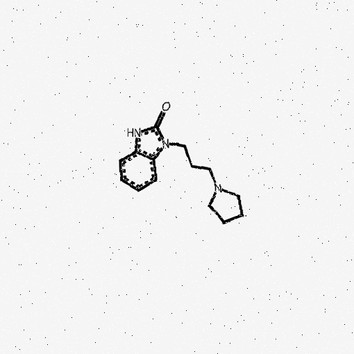 O=c1[nH]c2ccccc2n1CCCN1C[CH]CC1